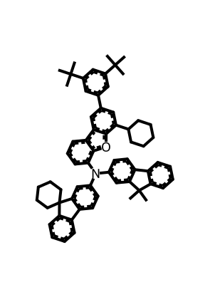 CC(C)(C)c1cc(-c2cc(C3CCCCC3)c3oc4c(N(c5ccc6c(c5)C(C)(C)c5ccccc5-6)c5ccc6c(c5)C5(CCCCC5)c5ccccc5-6)cccc4c3c2)cc(C(C)(C)C)c1